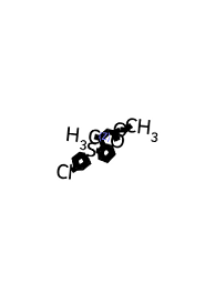 CCOC(=O)/C=C(/C)c1ccccc1Sc1ccc(Cl)cc1